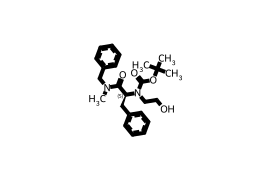 CN(Cc1ccccc1)C(=O)[C@H](Cc1ccccc1)N(CCO)C(=O)OC(C)(C)C